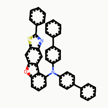 c1ccc(-c2ccc(N(c3ccc(-c4ccccc4)cc3)c3cccc4oc5cc6sc(-c7ccccc7)nc6cc5c34)cc2)cc1